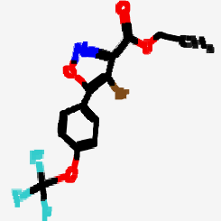 CCOC(=O)c1noc(-c2ccc(OC(F)(F)F)cc2)c1Br